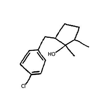 CC1CCC(Cc2ccc(Cl)cc2)C1(C)O